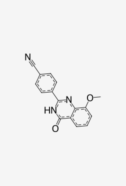 COc1cccc2c(=O)[nH]c(-c3ccc(C#N)cc3)nc12